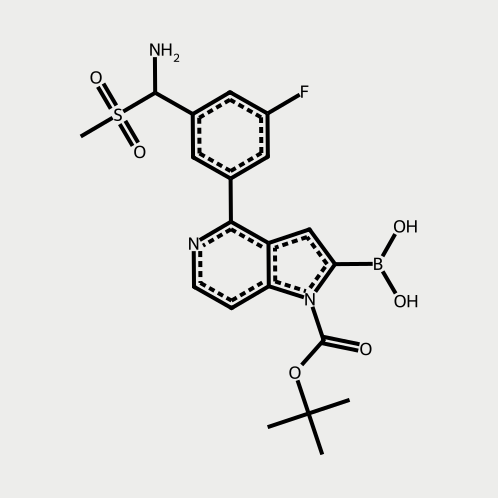 CC(C)(C)OC(=O)n1c(B(O)O)cc2c(-c3cc(F)cc(C(N)S(C)(=O)=O)c3)nccc21